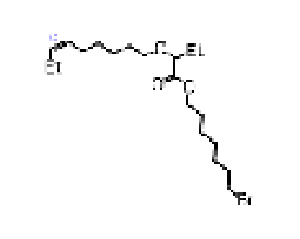 CC/C=C\CCCCCOC(CC)C(=O)OCCCCCCCBr